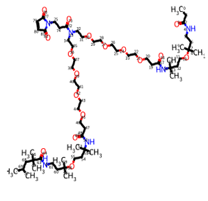 CCC(=O)NCCC(C)(C)OCCC(C)(C)NC(=O)CCOCCOCCOCCOCCN(CCOCCOCCOCCOCCC(=O)NC(C)(C)CCOC(C)(C)CCNC(=O)C(C)(C)CC(C)C)C(=O)CCN1C(=O)C=CC1=O